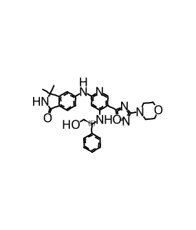 CC1(C)NC(=O)c2ccc(Nc3cc(N[C@H](CO)c4ccccc4)c(-c4nc(N5CCOCC5)no4)cn3)cc21